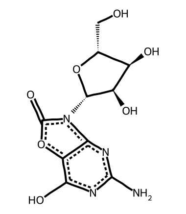 Nc1nc(O)c2oc(=O)n([C@@H]3O[C@H](CO)[C@@H](O)[C@H]3O)c2n1